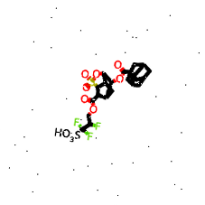 O=C(OCC(F)C(F)(F)S(=O)(=O)O)C1C2CC3C(OS(=O)(=O)C31)C2OC(=O)C12CC3CC(CC(C3)C1)C2